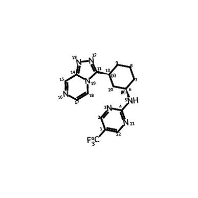 FC(F)(F)c1cnc(N[C@@H]2CCC[C@H](c3nnc4cnccn34)C2)nc1